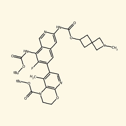 Cc1c(-c2cc3cc(NC(=O)OC4CC5(C4)CN(C)C5)ncc3c(NC(=O)OC(C)(C)C)c2F)cnc2c1N(C(=O)OC(C)(C)C)CCO2